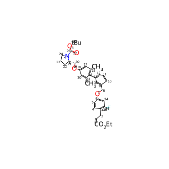 CCOC(=O)CCc1ccc(OCc2cccc(-c3c(C)cc(OC[C@@H]4CCCN4C(=O)OC(C)(C)C)cc3C)c2)cc1F